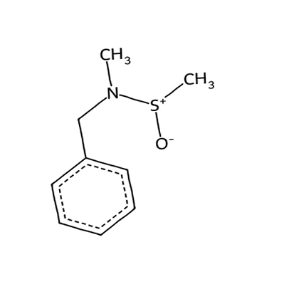 CN(Cc1ccccc1)[S+](C)[O-]